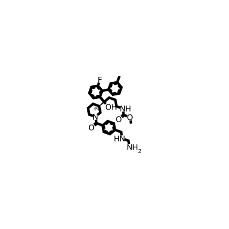 COC(=O)NCCCC(O)(c1cccc(F)c1-c1cccc(C)c1)[C@@H]1CCCN(C(=O)c2ccc(CNCN)cc2)C1